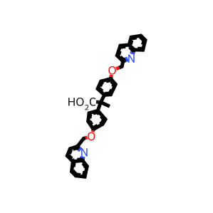 CC(C(=O)O)(c1ccc(OCc2ccc3ccccc3n2)cc1)c1ccc(OCc2ccc3ccccc3n2)cc1